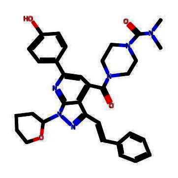 CN(C)C(=O)N1CCN(C(=O)c2cc(-c3ccc(O)cc3)nc3c2c(C=Cc2ccccc2)nn3C2CCCCO2)CC1